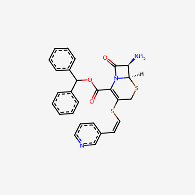 N[C@@H]1C(=O)N2C(C(=O)OC(c3ccccc3)c3ccccc3)=C(S/C=C\c3cccnc3)CS[C@H]12